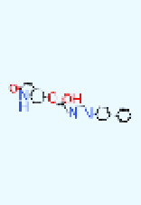 O=c1ccc2cc(OC[C@@H](O)CN3CCN(c4ccc(-c5ccccc5)cc4)CC3)ccc2[nH]1